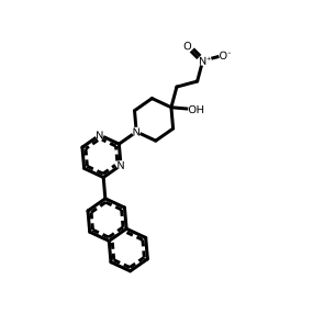 O=[N+]([O-])CCC1(O)CCN(c2nccc(-c3ccc4ccccc4c3)n2)CC1